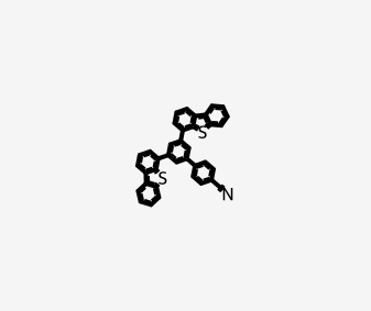 N#Cc1ccc(-c2cc(-c3cccc4c3sc3ccccc34)cc(-c3cccc4c3sc3ccccc34)c2)cc1